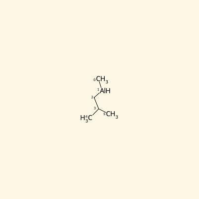 [CH3][AlH][CH2]C(C)C